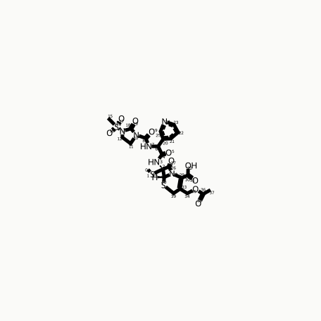 CS[C@@]1(NC(=O)C(NC(=O)N2CCN(S(C)(=O)=O)C2=O)c2cccnc2)C(=O)N2C(C(=O)O)=C(COC(C)=O)CS[C@@H]21